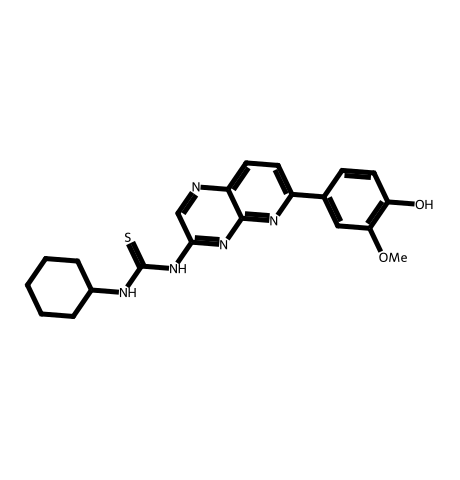 COc1cc(-c2ccc3ncc(NC(=S)NC4CCCCC4)nc3n2)ccc1O